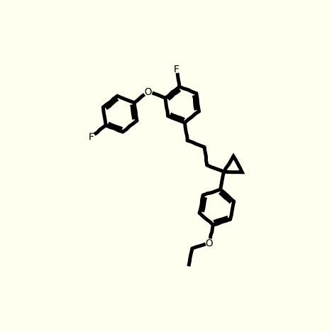 CCOc1ccc(C2(CCCc3ccc(F)c(Oc4ccc(F)cc4)c3)CC2)cc1